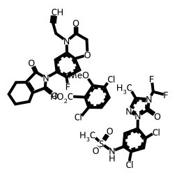 C#CCN1C(=O)COc2cc(F)c(N3C(=O)C4=C(CCCC4)C3=O)cc21.COc1c(Cl)ccc(Cl)c1C(=O)O.Cc1nn(-c2cc(NS(C)(=O)=O)c(Cl)cc2Cl)c(=O)n1C(F)F